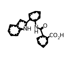 O=C(O)c1ccccc1C(=O)Nc1ccccc1-c1cc2ccccc2[nH]1